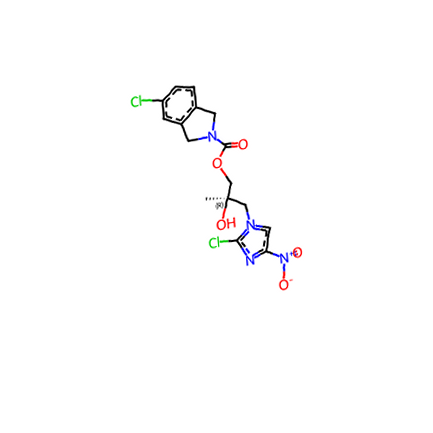 C[C@](O)(COC(=O)N1Cc2ccc(Cl)cc2C1)Cn1cc([N+](=O)[O-])nc1Cl